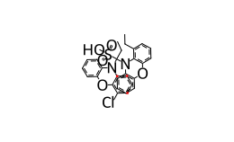 CCc1cccc2c1N(C(CC)(N1c3ccccc3Oc3c(Cl)cccc31)S(=O)(=O)O)c1ccccc1O2